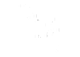 COC(=O)C1CC[C@H]2[C@@H]3CCC4CC5OC5C[C@]4(C)[C@@H]3C(N)C[C@]12C